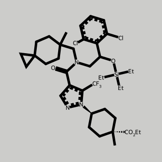 CCOC(=O)[C@]1(C)CC[C@@H](n2ncc(C(=O)N(CC(O[Si](CC)(CC)CC)c3c(Cl)cccc3Cl)CC3(C)CCC4(CC3)CC4)c2C(F)(F)F)CC1